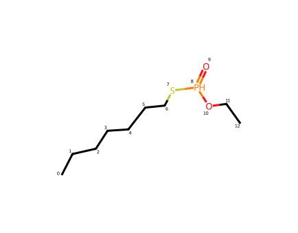 CCCCCCCS[PH](=O)OCC